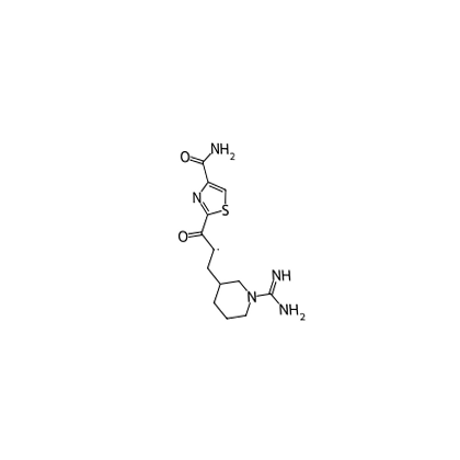 N=C(N)N1CCCC(C[CH]C(=O)c2nc(C(N)=O)cs2)C1